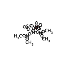 Cc1ccc2c(c1)c1cc(C)ccc1n2-c1ccc(-c2nc(-c3ccc(-n4c5ccc(C)cc5c5cc(C)ccc54)cc3)c(-c3ccc4c(c3)sc3ccccc34)c(-c3ccccc3-c3nc4ccccc4n3-c3ccccc3)c2-c2ccc3c(c2)sc2ccccc23)cc1